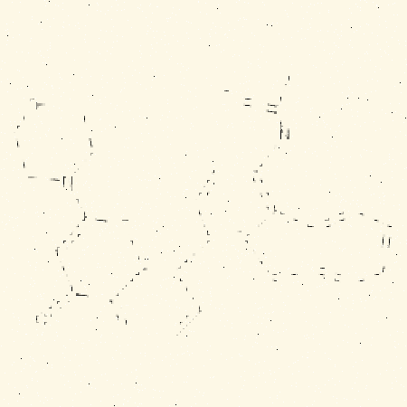 CC(=O)Nc1ccc(-c2cccc3c(=O)cc(N4CCOCC4)oc23)c2sc3ccccc3c12